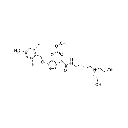 COC(=O)Oc1c(OCc2c(F)cc(C)cc2F)nsc1NC(=O)NCCCCN(CCO)CCO